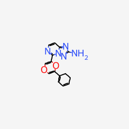 Nc1nc2ccnc(C3=COC=C(C4=CC=CCC4)O3)n2n1